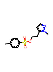 Cc1ccc(S(=O)(=O)OCCc2ccnn2C)cc1